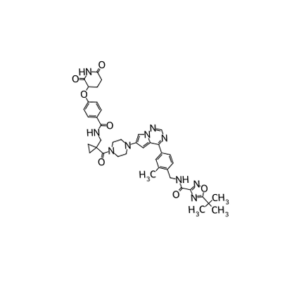 Cc1cc(-c2ncnn3cc(N4CCN(C(=O)C5(CNC(=O)c6ccc(OC7CCC(=O)NC7=O)cc6)CC5)CC4)cc23)ccc1CNC(=O)c1noc(C(C)(C)C)n1